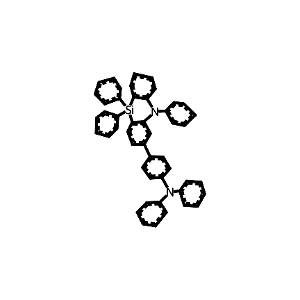 c1ccc(N(c2ccccc2)c2ccc(-c3ccc4c(c3)N(c3ccccc3)c3ccccc3[Si]4(c3ccccc3)c3ccccc3)cc2)cc1